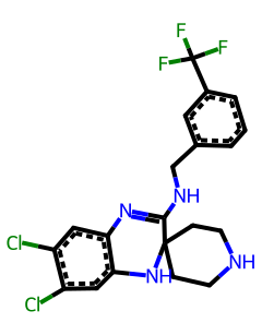 FC(F)(F)c1cccc(CNC2=Nc3cc(Cl)c(Cl)cc3NC23CCNCC3)c1